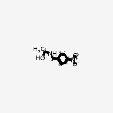 CC(O)NCc1ccc([N+](=O)[O-])cc1